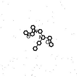 c1ccc(-c2ccc(-c3cc(-c4cccc5c4oc4ccccc45)cc(-c4cccc(-n5c6ccccc6c6c7c(ccc65)oc5ccccc57)c4)n3)cc2)cc1